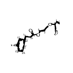 C=CC(=O)OCCOC(=O)CCc1ccccc1